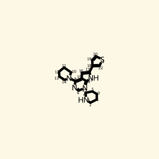 C1CCNCC1.c1nc(N2CCCCC2)c2cc(-c3ccsc3)[nH]c2n1